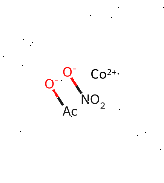 CC(=O)[O-].O=[N+]([O-])[O-].[Co+2]